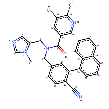 Cn1cncc1CN(Cc1ccc(C#N)c(-c2cccc3ccccc23)c1)C(=O)c1cnc(Cl)c(Cl)c1